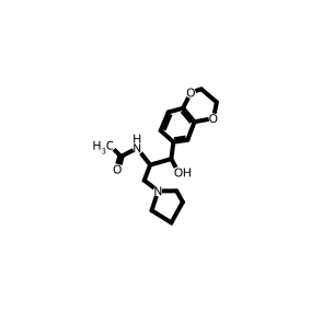 CC(=O)NC(CN1CCCC1)C(O)c1ccc2c(c1)OCCO2